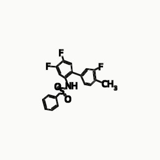 Cc1ccc(-c2cc(F)c(F)cc2NS(=O)(=O)c2ccccc2)cc1F